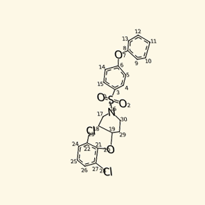 O=S(=O)(c1ccc(Oc2ccccc2)cc1)N1CCC(Oc2c(Cl)cccc2Cl)CC1